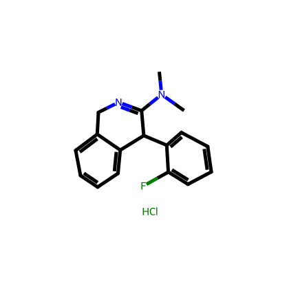 CN(C)C1=NCc2ccccc2C1c1ccccc1F.Cl